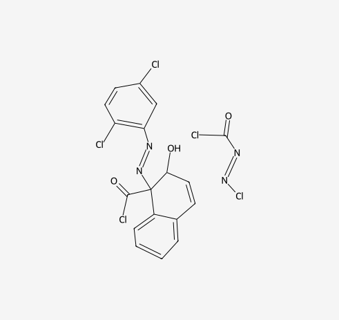 O=C(Cl)C1(N=Nc2cc(Cl)ccc2Cl)c2ccccc2C=CC1O.O=C(Cl)N=NCl